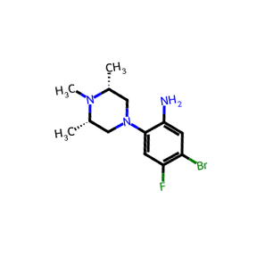 C[C@@H]1CN(c2cc(F)c(Br)cc2N)C[C@H](C)N1C